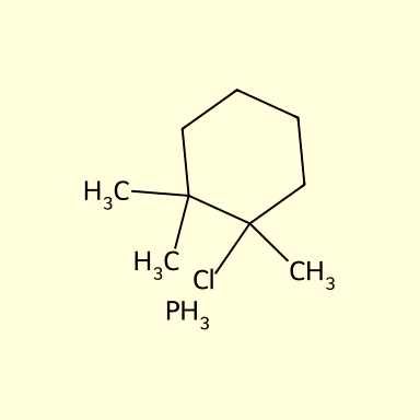 CC1(C)CCCCC1(C)Cl.P